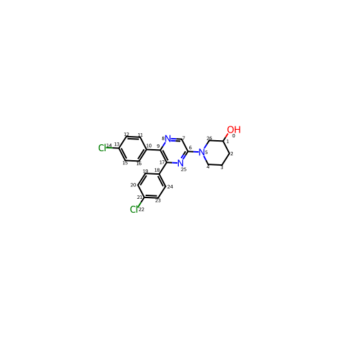 OC1CCCN(c2cnc(-c3ccc(Cl)cc3)c(-c3ccc(Cl)cc3)n2)C1